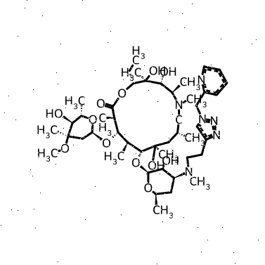 CC[C@H]1OC(=O)[C@H](C)[C@@H](O[C@H]2C[C@@](C)(OC)[C@@H](O)[C@H](C)O2)[C@H](C)[C@@H](O[C@@H]2O[C@H](C)C[C@H](N(C)CCc3cn(Cc4ccccn4)nn3)[C@H]2O)[C@](C)(O)C[C@@H](C)CN(C)[C@H](C)[C@@H](O)[C@]1(C)O